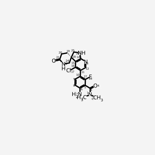 CN(C)C(=O)c1c(N)ccc(-c2cnc3c(c2Cl)[C@]2(CCC(=O)NC2)CN3)c1F